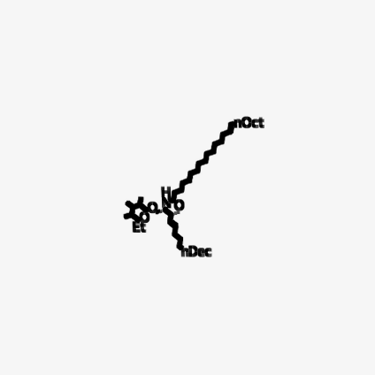 CCCCCCCC/C=C/CCCCCCCCCCCCCC(=O)N[C@@H](COC1OC(CC)C(C)C(C)C1C)[C@H](C)/C=C/CCCCCCCCCCCCC